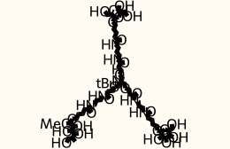 COC(OCCCCC(=O)NCCCNC(=O)CCOCC(COCCC(=O)NCCCNC(=O)CCCCOC1OC(CO)C(O)C(O)C1O)(COCCC(=O)NCCCNC(=O)CCCCOC(OC(CO)[C@H](C)O)[C@H](O)CO)NC(C)(C)C)C(O)C(O)C(O)C(C)CO